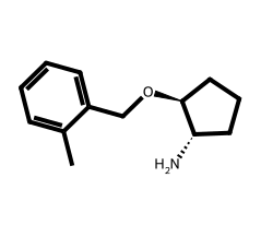 Cc1ccccc1CO[C@H]1CCC[C@@H]1N